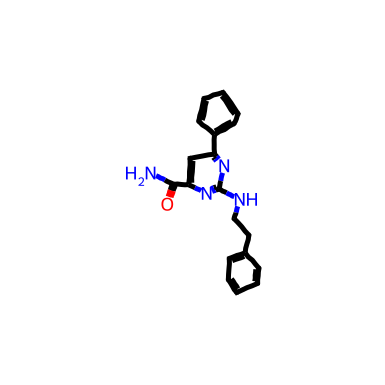 NC(=O)c1cc(-c2ccccc2)nc(NCCc2ccccc2)n1